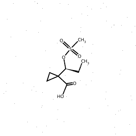 CC[C@H](OS(C)(=O)=O)C1(C(=O)O)CC1